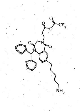 NCCCCCc1ccc2c(c1)C(=O)N(CCC(=O)OC(=O)C(F)(F)F)CC(=O)N2C(c1ccccc1)c1ccccc1